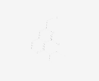 CCc1cc2cccc(C(C)CC)c2c(=N)[nH]1